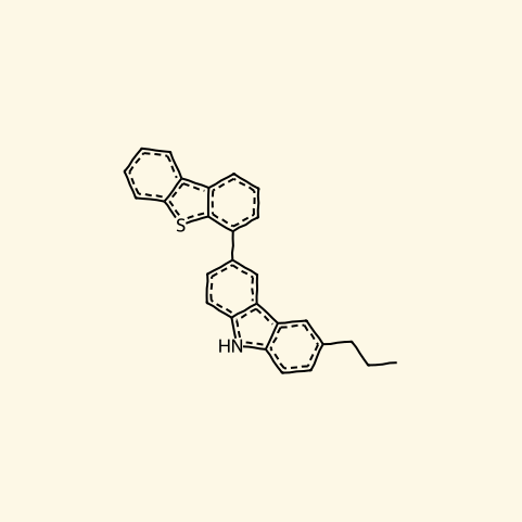 CCCc1ccc2[nH]c3ccc(-c4cccc5c4sc4ccccc45)cc3c2c1